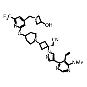 C=Cc1c(NC)ncnc1-c1cnn([C@]2(CC#N)C[C@@H](N3CCC(Oc4cc(CN5CC(O)C5)cc(C(F)(F)F)n4)CC3)C2)c1